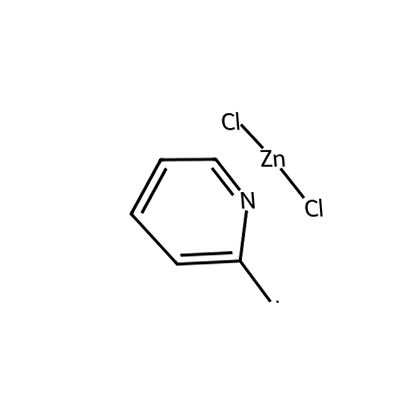 [CH2]c1ccccn1.[Cl][Zn][Cl]